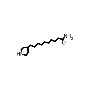 NC(=O)CCCCCCCCCC1CCNCC1